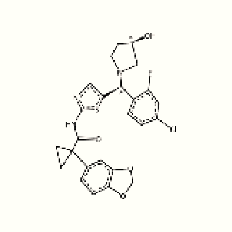 O=C(Nc1ncc([C@H](c2ccc(Cl)cc2F)N2CC[C@@H](O)C2)s1)C1(c2ccc3c(c2)OCO3)CC1